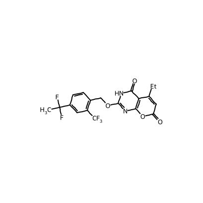 CCc1cc(=O)oc2nc(OCc3ccc(C(C)(F)F)cc3C(F)(F)F)[nH]c(=O)c12